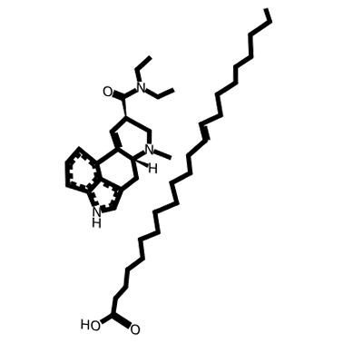 CCCCCCCCC=CCCCCCCCCCCCC(=O)O.CCN(CC)C(=O)[C@@H]1C=C2c3cccc4[nH]cc(c34)C[C@H]2N(C)C1